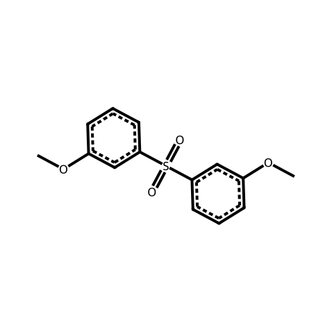 COc1cccc(S(=O)(=O)c2cccc(OC)c2)c1